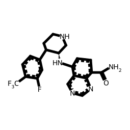 NC(=O)c1ccc(N[C@H]2CNCCC2c2ccc(C(F)(F)F)c(F)c2)c2cncnc12